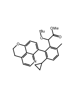 COC(=O)C(OC(C)(C)C)c1c(C)ccc(C2CC2)c1-c1ccc2c3c(ccnc13)CCO2